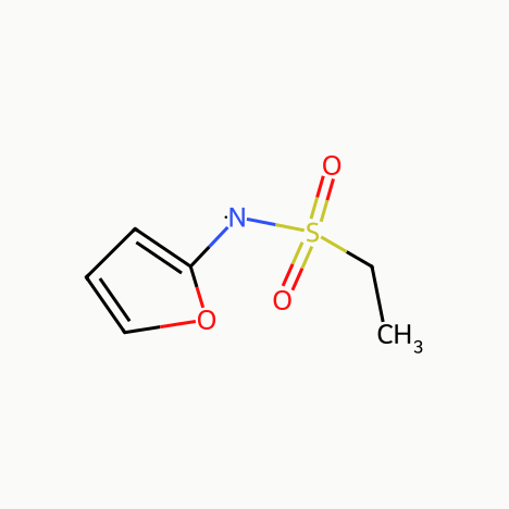 CCS(=O)(=O)[N]c1ccco1